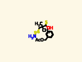 CC(=O)OCc1ccccc1.CC(C)(CSSN)C(O)=S